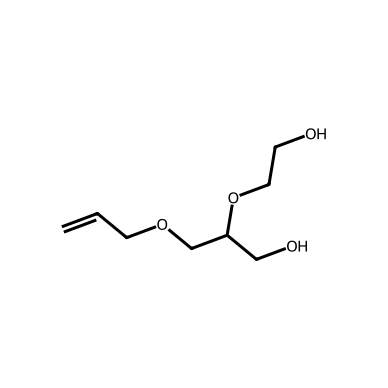 C=CCOCC(CO)OCCO